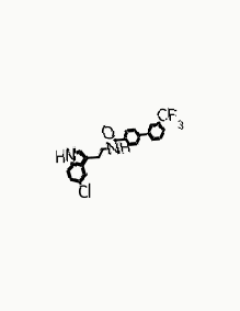 O=C(NCCc1c[nH]c2ccc(Cl)cc12)c1ccc(-c2cccc(C(F)(F)F)c2)cc1